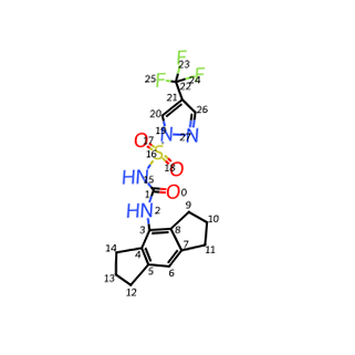 O=C(Nc1c2c(cc3c1CCC3)CCC2)NS(=O)(=O)n1cc(C(F)(F)F)cn1